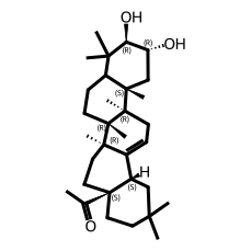 CC(=O)[C@]12CCC(C)(C)C[C@H]1C1=CC[C@@]3(C)[C@@](C)(CCC4C(C)(C)[C@@H](O)[C@H](O)C[C@@]43C)[C@]1(C)CC2